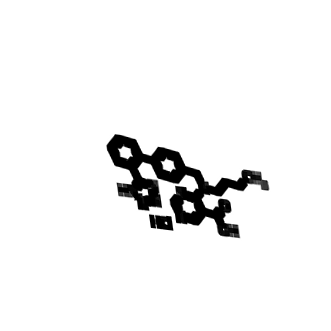 CCCCN(Cc1ccc(-c2ccccc2-c2nnn[nH]2)cc1)c1ncncc1C(=O)O.Cl